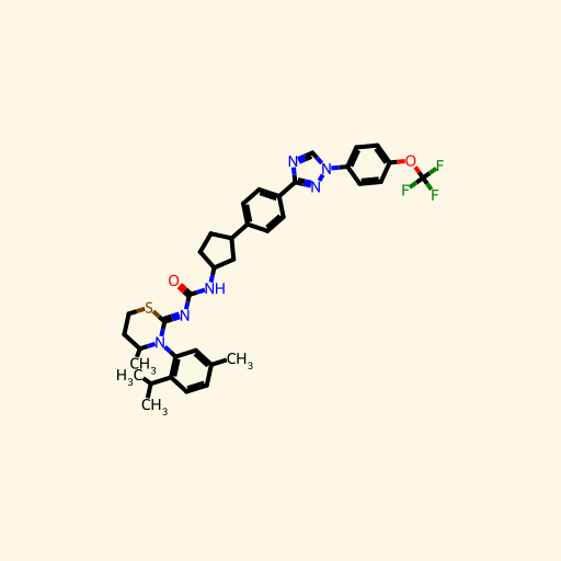 Cc1ccc(C(C)C)c(N2/C(=N/C(=O)NC3CCC(c4ccc(-c5ncn(-c6ccc(OC(F)(F)F)cc6)n5)cc4)C3)SCCC2C)c1